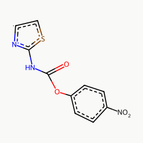 O=C(Nc1n[c]cs1)Oc1ccc([N+](=O)[O-])cc1